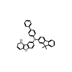 CC1(C)c2ccccc2-c2ccc(N(c3ccc(-c4ccccc4)cc3)c3ccc4oc5c(c4c3)NCC=C5)cc21